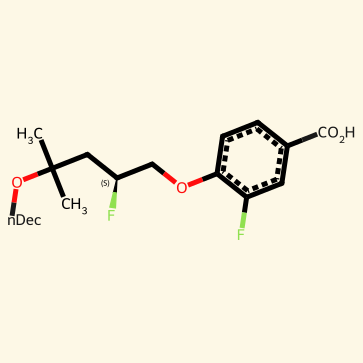 CCCCCCCCCCOC(C)(C)C[C@H](F)COc1ccc(C(=O)O)cc1F